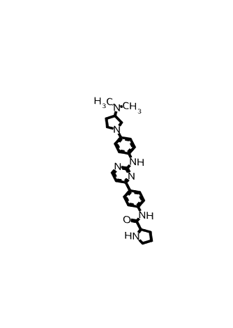 CN(C)C1CCN(c2ccc(Nc3nccc(-c4ccc(NC(=O)C5CCCN5)cc4)n3)cc2)C1